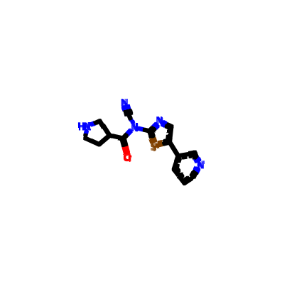 N#CN(C(=O)C1CCNC1)c1ncc(-c2cccnc2)s1